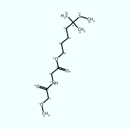 COCC(=O)NCC(=O)OCCCCC(C)(C)SC